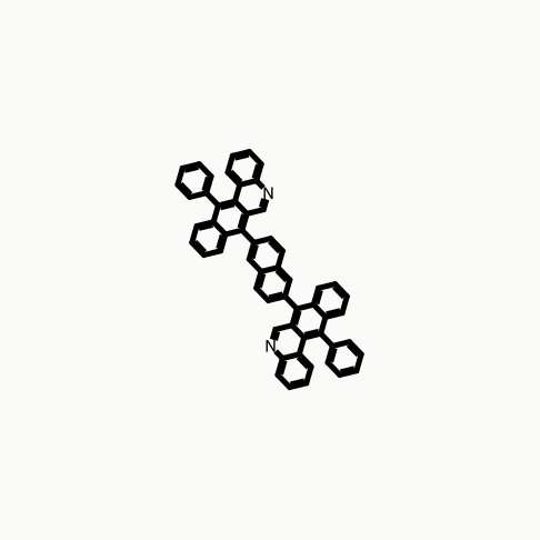 c1ccc(-c2c3ccccc3c(-c3ccc4cc(-c5c6ccccc6c(-c6ccccc6)c6c5cnc5ccccc56)ccc4c3)c3cnc4ccccc4c23)cc1